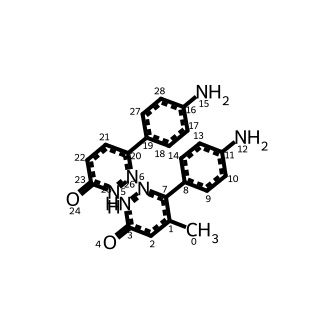 Cc1cc(=O)[nH]nc1-c1ccc(N)cc1.Nc1ccc(-c2ccc(=O)[nH]n2)cc1